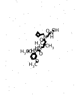 COc1ccc(OC)c(NC(=O)NCC(C)(C)CC(=O)N(CC(=O)NO)CC2CCC2)c1